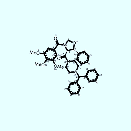 COc1cc(C(=O)N2CO[C@H](c3ccccc3)[C@H]2C(=O)N2CCN(C(c3ccccc3)c3ccccc3)CC2)cc(OC)c1OC